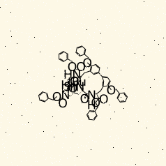 CC(C)(C)[Si](C)(C)O[C@@H](CNC(=O)OCc1ccccc1)C[C@@H]1NC(=O)[C@@H](NC(=O)OCc2ccccc2)Cc2cc(ccc2OCc2ccccc2)-c2ccc(OCc3ccccc3)c(c2)C[C@@H](C(=O)OCc2ccccc2)NC1=O